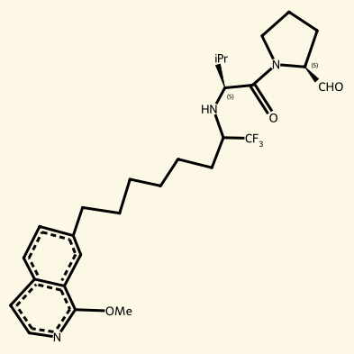 COc1nccc2ccc(CCCCCCC(N[C@H](C(=O)N3CCC[C@H]3C=O)C(C)C)C(F)(F)F)cc12